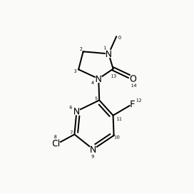 CN1CCN(c2nc(Cl)ncc2F)C1=O